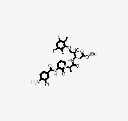 CC(C(=O)N[C@@H](CC(=O)OC(C)(C)C)C(O)COc1c(F)c(F)cc(F)c1F)n1cccc(NC(=O)c2ccc(N)c(Cl)c2)c1=O